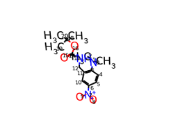 CN(C)c1ccc([N+](=O)[O-])cc1CNC(=O)OC(C)(C)C